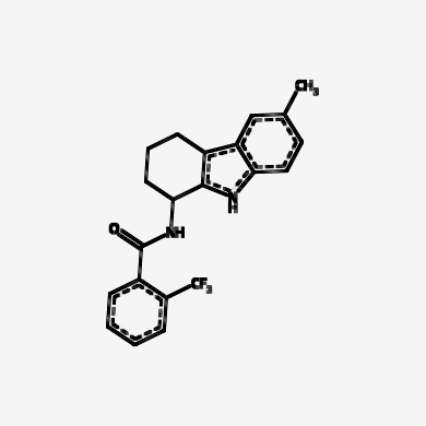 Cc1ccc2[nH]c3c(c2c1)CCCC3NC(=O)c1ccccc1C(F)(F)F